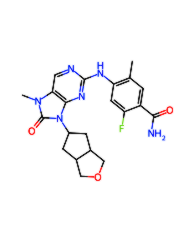 Cc1cc(C(N)=O)c(F)cc1Nc1ncc2c(n1)n(C1CC3COCC3C1)c(=O)n2C